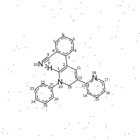 [2H]C1=C(c2ccccc2C#N)C=C(c2ccccn2)CN1c1ccccc1